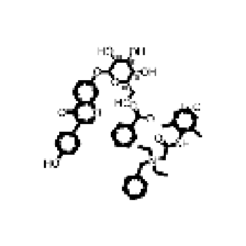 CC[N+](CC)(CC(=O)Nc1c(C)cccc1C)Cc1ccccc1.O.O=C([O-])c1ccccc1.O=c1c(-c2ccc(O)cc2)coc2cc(OC3O[C@H](CO)[C@@H](O)[C@H](O)[C@H]3O)ccc12